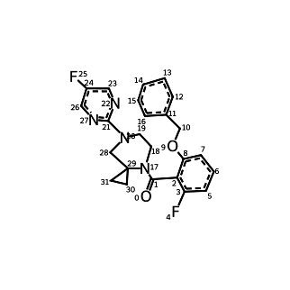 O=C(c1c(F)cccc1OCc1ccccc1)N1CCN(c2ncc(F)cn2)CC12CC2